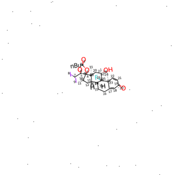 CCCCC(=O)O[C@]1(C(=O)C(I)I)[C@@H](C)C[C@H]2[C@@H]3CCC4=CC(=O)C=C[C@]4(C)[C@@]3(F)[C@@H](O)C[C@@]21C